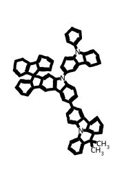 CC1(C)c2ccccc2-n2c3ccc(-c4ccc5c(c4)c4cc6c(cc4n5-c4ccc5c(c4)c4ccccc4n5-c4ccccc4)C4(C5=C(CCC=C5)c5ccccc54)c4ccccc4-6)cc3c3cccc1c32